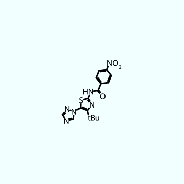 CC(C)(C)c1nc(NC(=O)c2ccc([N+](=O)[O-])cc2)sc1-n1cncn1